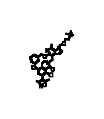 Cc1noc(C)c1-c1cc(Cl)c2c(c1Cl)C(=O)N(Cc1c(OCc3ccccc3)nc(C)c3c1ccn3COCC[Si](C)(C)C)CC2